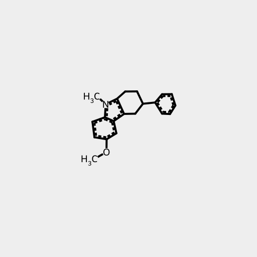 COc1ccc2c(c1)c1c(n2C)CCC(c2ccccc2)C1